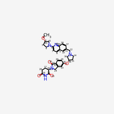 CO[C@@H]1CCN(c2ccc3cc(CN4CC[C@H](Oc5ccc6c(c5)CN(C5CCC(=O)NC5=O)C6=O)C4)ccc3n2)C1